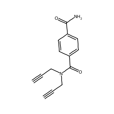 C#CCN(CC#C)C(=O)c1ccc(C(N)=O)cc1